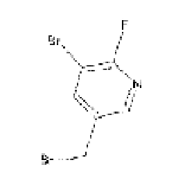 Fc1ncc(CBr)cc1Br